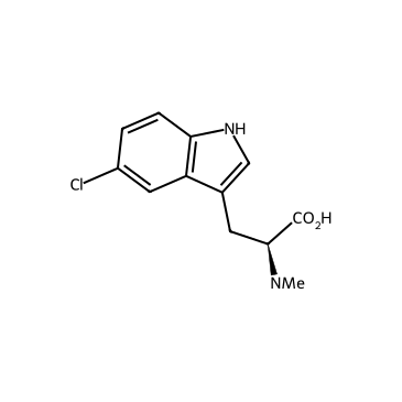 CN[C@@H](Cc1c[nH]c2ccc(Cl)cc12)C(=O)O